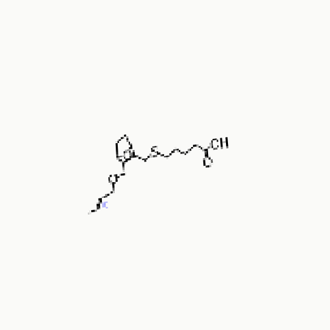 C/C=C/COCC1C2CCC(O2)C1CSCCCCC(=O)O